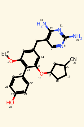 CCOc1cc(Cc2cnc(N)nc2N)cc(OC2CCC(C#N)C2)c1-c1ccc(O)cc1